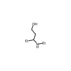 CCNC(CC)CCO